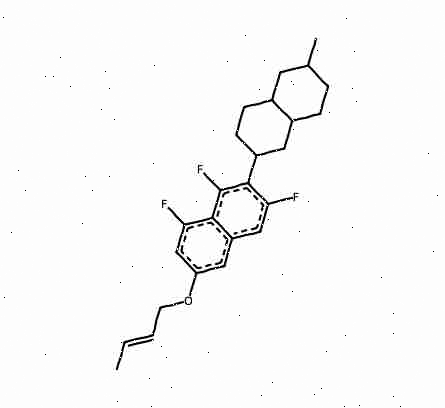 CC=CCOc1cc(F)c2c(F)c(C3CCC4CC(C)CCC4C3)c(F)cc2c1